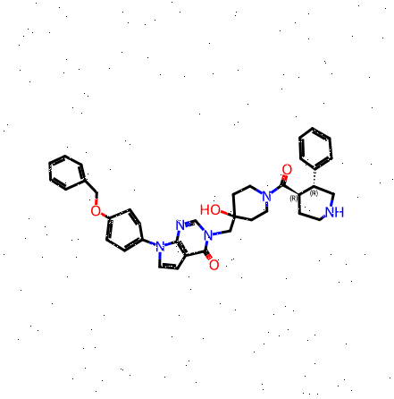 O=C([C@@H]1CCNC[C@H]1c1ccccc1)N1CCC(O)(Cn2cnc3c(ccn3-c3ccc(OCc4ccccc4)cc3)c2=O)CC1